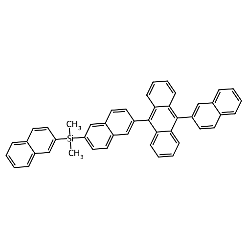 C[Si](C)(c1ccc2ccccc2c1)c1ccc2cc(-c3c4ccccc4c(-c4ccc5ccccc5c4)c4ccccc34)ccc2c1